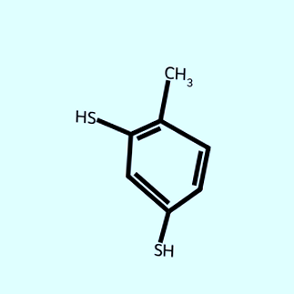 Cc1ccc(S)cc1S